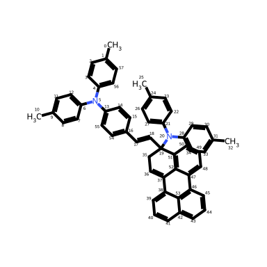 Cc1ccc(N(c2ccc(C)cc2)c2ccc(C=CC3(N(c4ccc(C)cc4)c4ccc(C)cc4)CC=c4c5cccc6cccc(c7cccc3c47)c65)cc2)cc1